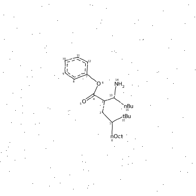 CCCCCCCCC(CC(C(=O)Oc1ccccc1)C(N)CCCC)C(C)(C)C